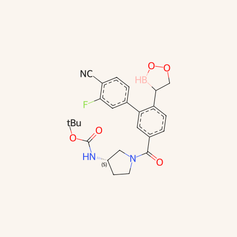 CC(C)(C)OC(=O)N[C@H]1CCN(C(=O)c2ccc(C3BOOC3)c(-c3ccc(C#N)c(F)c3)c2)C1